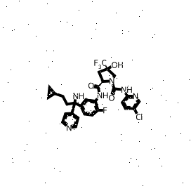 NC(CCC1CC1)(c1ccncc1)c1ccc(F)c(NC(=O)[C@H]2C[C@](O)(C(F)(F)F)CN2C(=O)Nc2ccc(Cl)cn2)c1